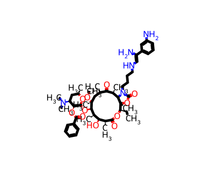 CC[C@H]1OC(=O)[C@H](C)[C@@H](O)[C@H](C)[C@@H](OC2O[C@H](C)C[C@H](N(C)C)[C@H]2OC(=O)c2ccccc2)[C@@](C)(OC)C[C@@H](C)C(=O)[C@H](C)C2N(CCCCN/C=C(\N)c3cccc(N)c3)C(=O)O[C@@]21C